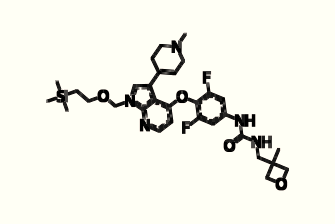 CN1CC=C(c2cn(COCC[Si](C)(C)C)c3nccc(Oc4c(F)cc(NC(=O)NCC5(C)COC5)cc4F)c23)CC1